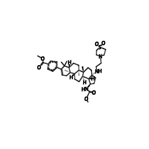 COC(=O)N[C@@H]1CC[C@]2(NCCN3CCS(=O)(=O)CC3)CC[C@]3(C)[C@H](CC[C@@H]4[C@@]5(C)CC=C(c6ccc(C(=O)OC)cc6)C(C)(C)[C@@H]5CC[C@]43C)[C@@H]12